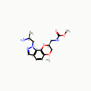 COC(=O)NC[C@H]1COc2ccc3cnn(C[C@H](C)N)c3c2O1.Cl